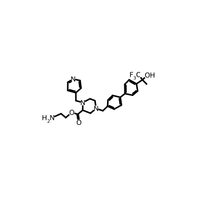 CC(O)(c1ccc(-c2ccc(CN3CCN(Cc4ccncc4)C(C(=O)OCCN)C3)cc2)cc1)C(F)(F)F